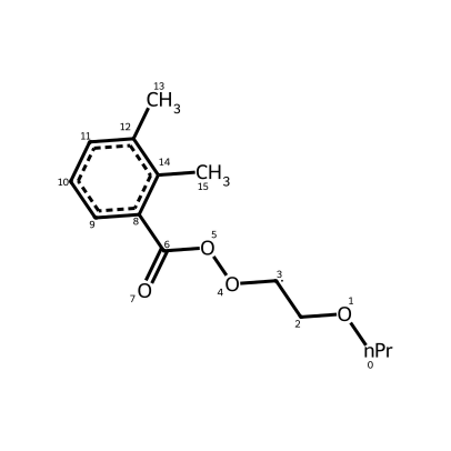 CCCOC[CH]OOC(=O)c1cccc(C)c1C